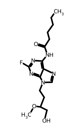 CCCCCC(=O)Nc1nc(F)nc2c1ncn2CCC(CO)OC